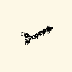 CCC(C)n1ncn(-c2ccc(N3CCN(c4ccc(OC[C@H](COc5ccc(Cl)cc5Cl)OCCn5cncn5)nc4)CC3)c(F)c2)c1=O